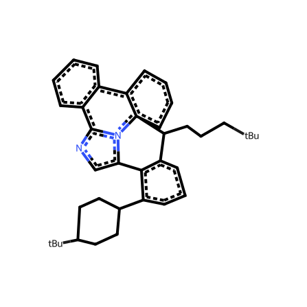 CC(CCCC(C)(C)C)c1cccc(C2CCC(C(C)(C)C)CC2)c1-c1cnc2c3ccccc3c3ccccc3n12